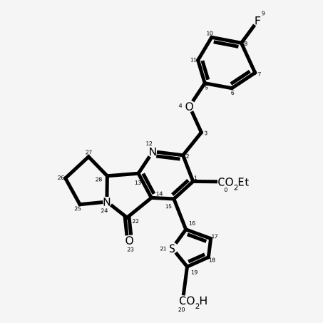 CCOC(=O)c1c(COc2ccc(F)cc2)nc2c(c1-c1ccc(C(=O)O)s1)C(=O)N1CCCC21